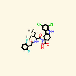 CCC(C)C(NC(=O)Cc1c(F)cccc1F)C(=O)NC1(C(=O)O)CCc2[nH]c3c(Cl)cc(Cl)cc3c2C1